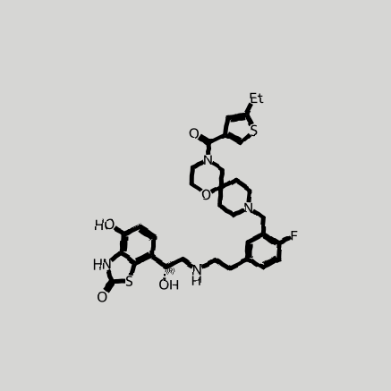 CCc1cc(C(=O)N2CCOC3(CCN(Cc4cc(CCNC[C@H](O)c5ccc(O)c6[nH]c(=O)sc56)ccc4F)CC3)C2)cs1